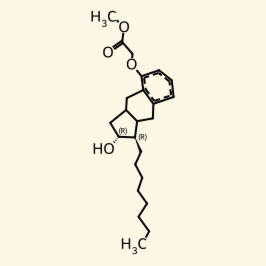 CCCCCCCC[C@@H]1C2Cc3cccc(OCC(=O)OC)c3CC2C[C@H]1O